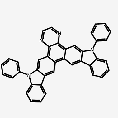 c1ccc(-n2c3ccccc3c3cc4c5cc6c7ccccc7n(-c7ccccc7)c6cc5c5nccnc5c4cc32)cc1